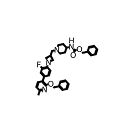 Cc1ccc(-c2ccc(N3CC(CN4CCC(NC(=O)OCc5ccccc5)CC4)C3)c(F)c2)c(OCc2ccccc2)n1